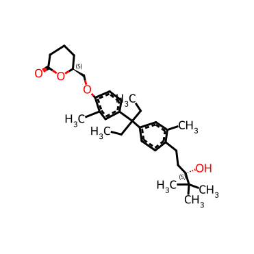 CCC(CC)(c1ccc(CC[C@H](O)C(C)(C)C)c(C)c1)c1ccc(OC[C@@H]2CCCC(=O)O2)c(C)c1